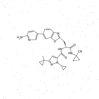 CC1(c2cc(C(=O)N[C@@H](Cc3nc4ccc(-c5ccc(N)nc5)cc4o3)C(=O)NC3(C#N)CC3)n(C3CC3)n2)CC1